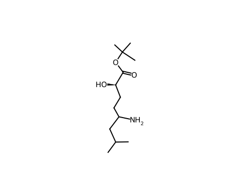 CC(C)CC(N)CC[C@@H](O)C(=O)OC(C)(C)C